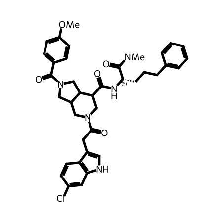 CNC(=O)[C@H](CCCc1ccccc1)NC(=O)C1CN(C(=O)Cc2c[nH]c3cc(Cl)ccc23)CC2CN(C(=O)c3ccc(OC)cc3)CC21